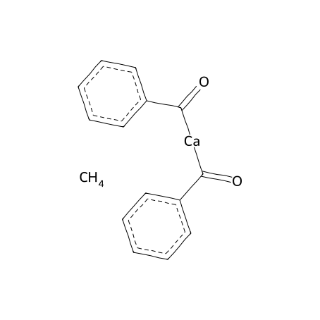 C.O=[C]([Ca][C](=O)c1ccccc1)c1ccccc1